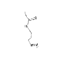 BCCNC(C)=O